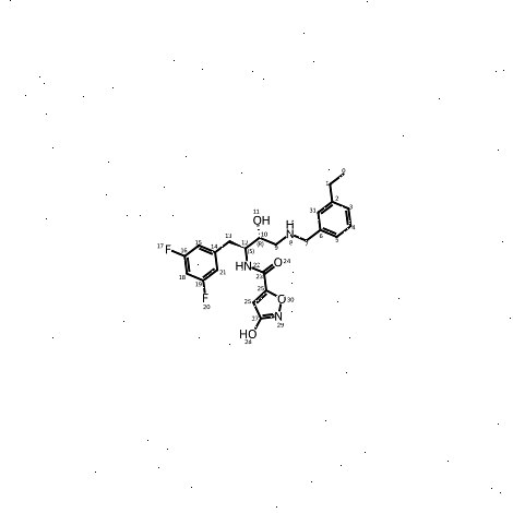 CCc1cccc(CNC[C@@H](O)[C@H](Cc2cc(F)cc(F)c2)NC(=O)c2cc(O)no2)c1